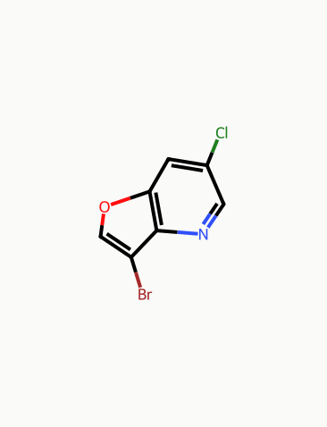 Clc1cnc2c(Br)coc2c1